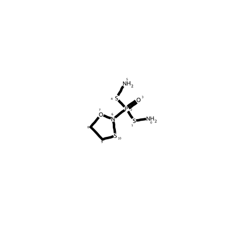 NSP(=O)(SN)N1OCCS1